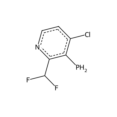 FC(F)c1nccc(Cl)c1P